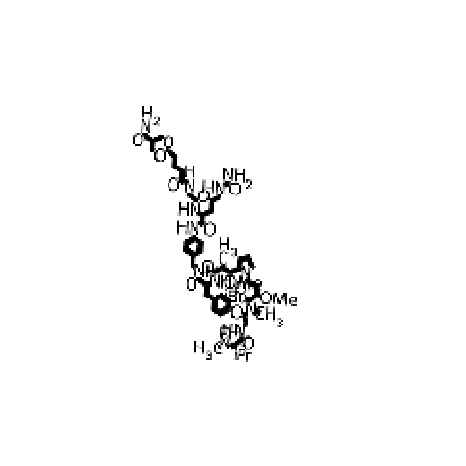 CCC(C)C(C(CC(=O)N1CCCC1C(OC)C(C)C(=O)NC(Cc1ccccc1)C(=O)NCc1ccc(NC(=O)C(CCCNC(N)=O)NC(=O)CNC(=O)CCCC2OCC(C(N)=O)CO2)cc1)OC)N(C)C(=O)CNC(=O)C(C(C)C)N(C)C